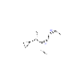 C/C=C\C=C(\CC)C(=N)C1CC1